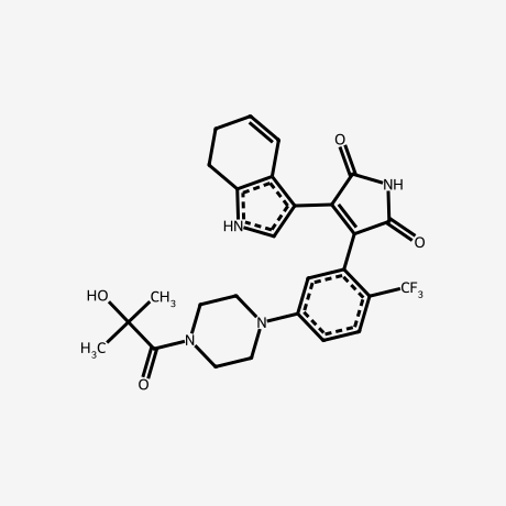 CC(C)(O)C(=O)N1CCN(c2ccc(C(F)(F)F)c(C3=C(c4c[nH]c5c4C=CCC5)C(=O)NC3=O)c2)CC1